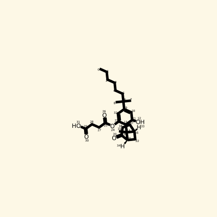 CCCCCCC(C)(C)C1=CC(O)C(C2(C)[C@@H]3CCC(=O)[C@H]2C3)C(OC(=O)CCC(=O)O)=C1